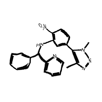 Cc1nnn(C)c1-c1ccc([N+](=O)[O-])c(NC(c2ccccc2)c2ccccn2)c1